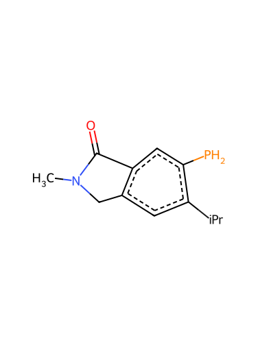 CC(C)c1cc2c(cc1P)C(=O)N(C)C2